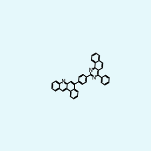 c1ccc(-c2nc(-c3ccc(-c4cc5nc6ccccc6cc5c5ccccc45)cc3)nc3c2ccc2ccccc23)cc1